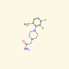 Cc1ccc(F)c(F)c1N1CCN(CC(N)=O)CC1